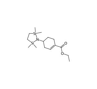 CCOC(=O)C1=CCC(N2[Si](C)(C)CC[Si]2(C)C)CC1